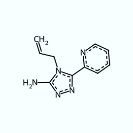 C=CCn1c(N)nnc1-c1ccccn1